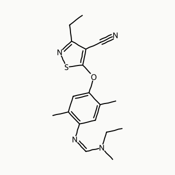 CCc1nsc(Oc2cc(C)c(/N=C\N(C)CC)cc2C)c1C#N